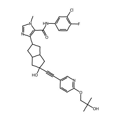 Cn1cnc(C2CC3CC(O)(C#Cc4ccc(OCC(C)(C)O)nc4)CC3C2)c1C(=O)Nc1ccc(F)c(Cl)c1